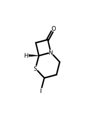 O=C1C[C@H]2SC(I)CCN12